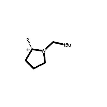 C[C@H]1CCCN1CC(C)(C)C